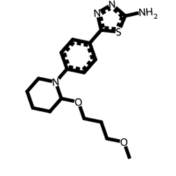 COCCCOC1CCCCN1c1ccc(-c2nnc(N)s2)cc1